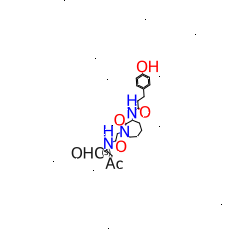 CC(=O)C[C@@H](C=O)NC(=O)CN1CCCCC(NC(=O)CCc2ccc(O)cc2)C1=O